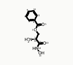 N[C@@H](COC(=O)c1ccccc1)C(=O)NO